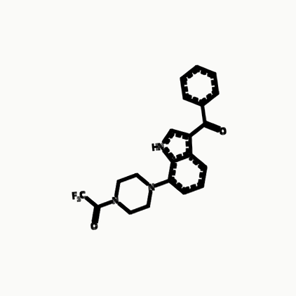 O=C(c1ccccc1)c1c[nH]c2c(N3CCN(C(=O)C(F)(F)F)CC3)cccc12